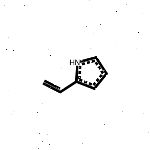 C=Cc1ccc[nH]1